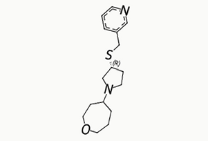 c1cncc(CS[C@@H]2CCN(C3CCCOCC3)C2)c1